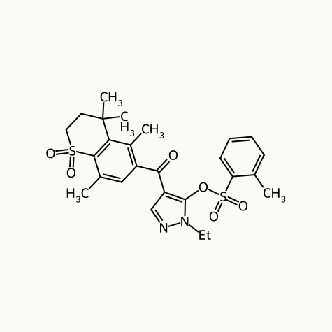 CCn1ncc(C(=O)c2cc(C)c3c(c2C)C(C)(C)CCS3(=O)=O)c1OS(=O)(=O)c1ccccc1C